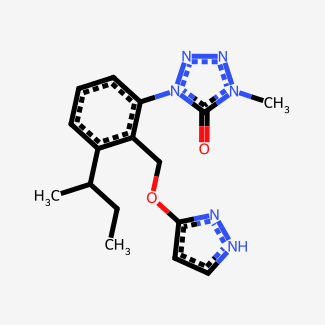 CCC(C)c1cccc(-n2nnn(C)c2=O)c1COc1cc[nH]n1